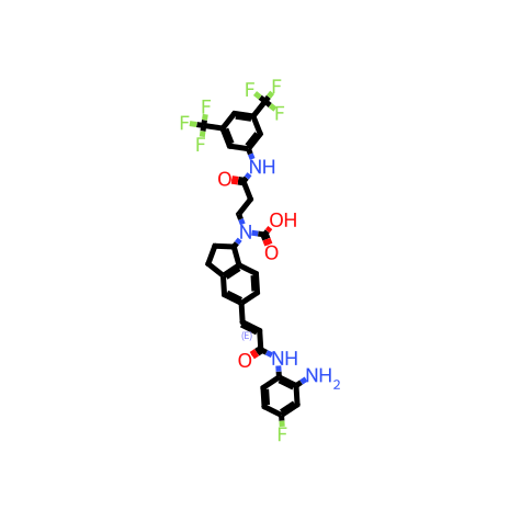 Nc1cc(F)ccc1NC(=O)/C=C/c1ccc2c(c1)CCC2N(CCC(=O)Nc1cc(C(F)(F)F)cc(C(F)(F)F)c1)C(=O)O